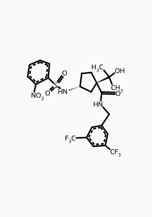 CC(C)(O)[C@]1(C(=O)NCc2cc(C(F)(F)F)cc(C(F)(F)F)c2)CC[C@@H](NS(=O)(=O)c2ccccc2[N+](=O)[O-])C1